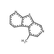 Cc1cncc2sc3ncccc3c12